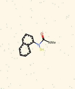 CNC(=O)N(S)c1cccc2ccccc12